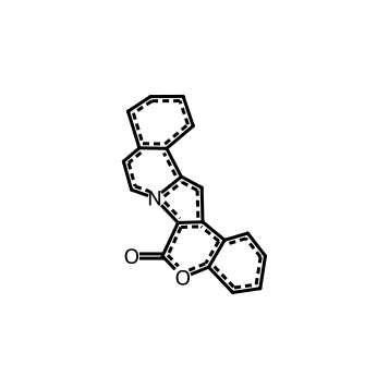 O=c1oc2ccccc2c2cc3c4ccccc4ccn3c12